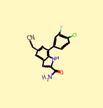 N#CCc1cc(-c2ccc(Cl)c(F)c2)c2[nH]c(C(N)=O)cc2c1